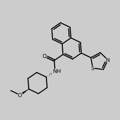 CO[C@H]1CC[C@H](NC(=O)c2cc(-c3cncs3)cc3ccccc23)CC1